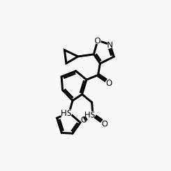 O=C(c1cnoc1C1CC1)c1cccc([SH]2C=CC=C2)c1C[SH](=O)=O